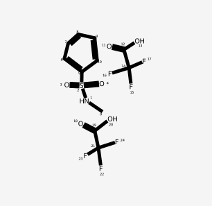 CNS(=O)(=O)c1ccccc1.O=C(O)C(F)(F)F.O=C(O)C(F)(F)F